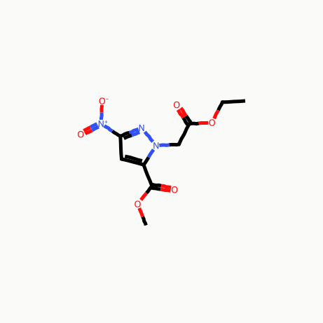 CCOC(=O)Cn1nc([N+](=O)[O-])cc1C(=O)OC